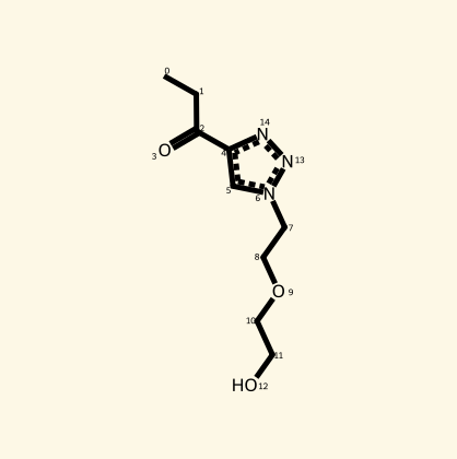 CCC(=O)c1cn(CCOCCO)nn1